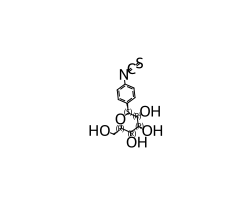 OC[C@H]1O[C@@H](c2ccc(N=C=S)cc2)[C@H](O)[C@@H](O)[C@H]1O